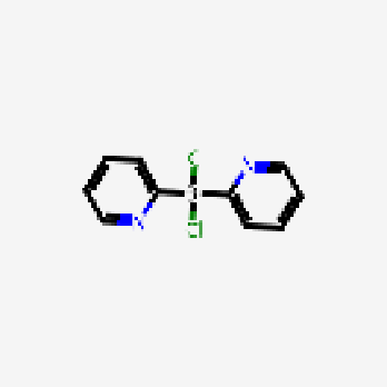 [Cl][Bi]([Cl])([c]1ccccn1)[c]1ccccn1